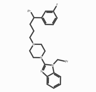 CC(C)Cn1c(N2CCN(CCC[C](c3cccc(F)c3)C(C)C)CC2)nc2ccccc21